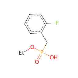 CCOP(=O)(O)Cc1ccccc1F